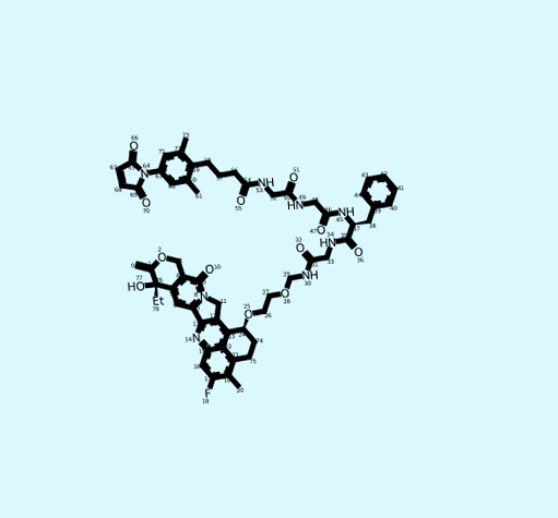 C=C1OCc2c(cc3n(c2=O)Cc2c-3nc3cc(F)c(C)c4c3c2[C@@H](OCCOCNC(=O)CNC(=O)[C@H](Cc2ccccc2)NC(=O)CNC(=O)CNC(=O)CCCc2c(C)cc(N3C(=O)C=CC3=O)cc2C)CC4)[C@@]1(O)CC